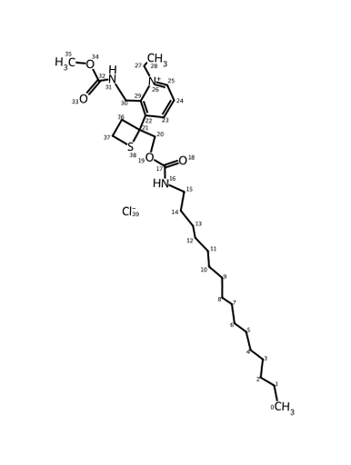 CCCCCCCCCCCCCCCCNC(=O)OCC1(c2ccc[n+](CC)c2CNC(=O)OC)CCS1.[Cl-]